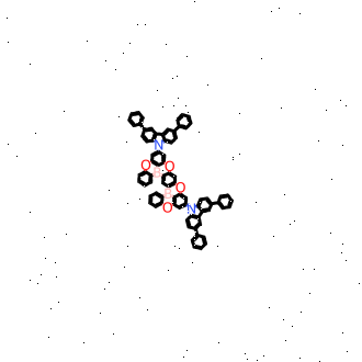 c1ccc(-c2ccc3c(c2)c2cc(-c4ccccc4)ccc2n3-c2cc3c4c(c2)Oc2cc5c(cc2B4c2ccccc2O3)B2c3ccccc3Oc3cc(-n4c6ccc(-c7ccccc7)cc6c6cc(-c7ccccc7)ccc64)cc(c32)O5)cc1